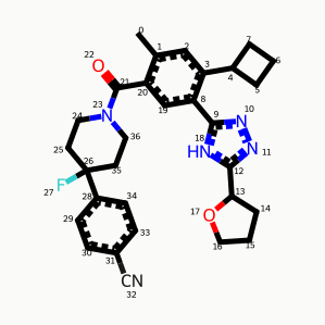 Cc1cc(C2CCC2)c(-c2nnc(C3CCCO3)[nH]2)cc1C(=O)N1CCC(F)(c2ccc(C#N)cc2)CC1